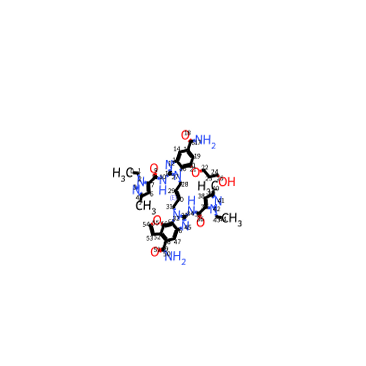 CCn1nc(C)cc1C(=O)Nc1nc2cc(C(N)=O)cc(OCCCO)c2n1C/C=C/Cn1c(NC(=O)c2cc(C)nn2CC)nc2cc(C(N)=O)c3ccoc3c21